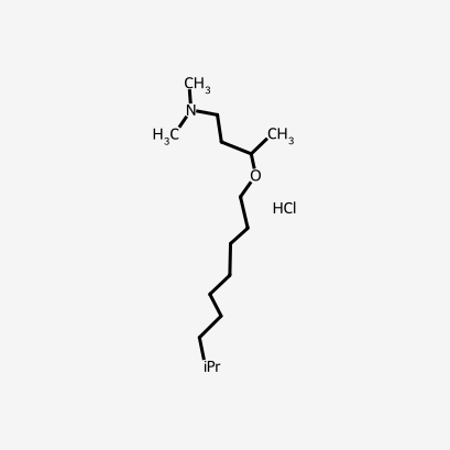 CC(C)CCCCCCCOC(C)CCN(C)C.Cl